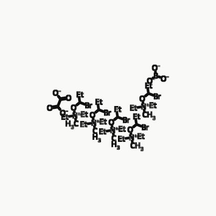 CCC(Br)O[N+](C)(CC)CC.CCC(Br)O[N+](C)(CC)CC.CCC(Br)O[N+](C)(CC)CC.CCC(Br)O[N+](C)(CC)CC.CCC(Br)O[N+](C)(CC)CC.O=C([O-])C(=O)[O-].[O-]B([O-])[O-]